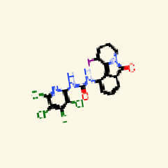 O=C(NC1=CC=CC2C(=O)N3CCCC(I)C3=C12)Nc1nc(Cl)c(Cl)c(Cl)c1Cl